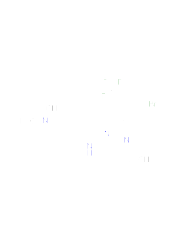 Cc1cccc2c(NCCCCN(C)C)nc(-c3cc(Br)cc(C(F)(F)F)c3)nc12